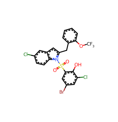 O=S(=O)(c1cc(Br)cc(Cl)c1O)n1c(Cc2ccccc2OC(F)(F)F)cc2cc(Cl)ccc21